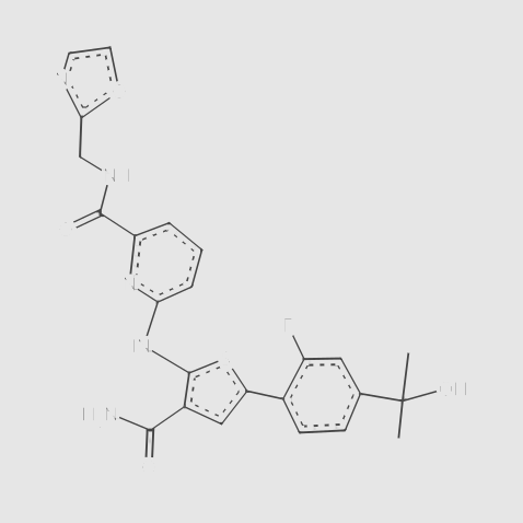 CC(C)(O)c1ccc(-c2cc(C(N)=O)c(Nc3cccc(C(=O)NCc4ncco4)n3)s2)c(F)c1